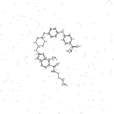 COCCNC(=O)c1ccc2nn(CC3CCN(Cc4ccc(Oc5ccc(C(N)=O)cc5)cc4)CC3)cc2c1C